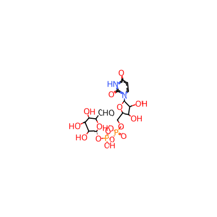 O=CC1O[C@H](OP(=O)(O)OP(=O)(O)OCC2OC(n3ccc(=O)[nH]c3=O)C(O)C2O)C(O)C(O)[C@H]1O